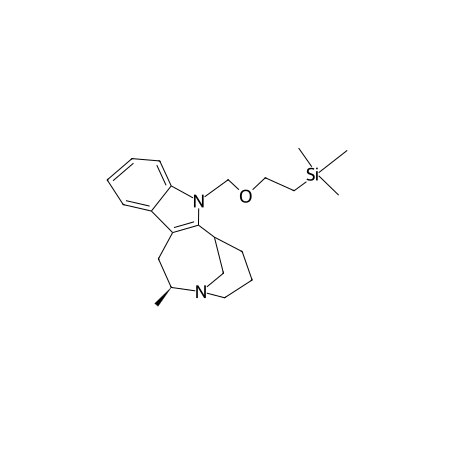 C[C@H]1Cc2c(n(COCC[Si](C)(C)C)c3ccccc23)C2CCCN1C2